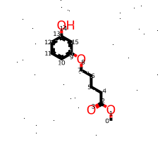 COC(=O)CCCCOc1cccc(O)c1